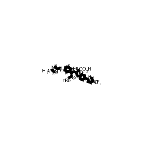 CCC(CC)(C(=O)O)C(Cc1ccc(-c2ccc(C(F)(F)F)cn2)cc1)c1[nH]c2ccc(OCc3cnc(C)cn3)cc2c1C(=O)CC(C)(C)C